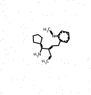 C=C/C(=C\Cc1ccccc1N=C)C(N)=C1CCCC1